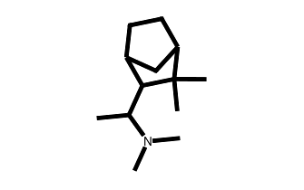 CC(C1C2CCC(C2)C1(C)C)N(C)C